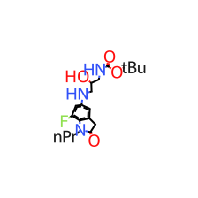 CCCN1C(=O)Cc2cc(NCC(O)CNC(=O)OC(C)(C)C)cc(F)c21